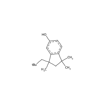 CC(C)(C)CC1(C)CC(C)(C)c2ccc(O)cc21